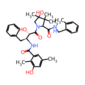 Cc1cc(O)c(C)c(C(=O)N[C@@H](Cc2ccccc2)[C@H](O)C(=O)N2CC(C)(O)C(C)(C)C2C(=O)NCc2ccccc2C)c1